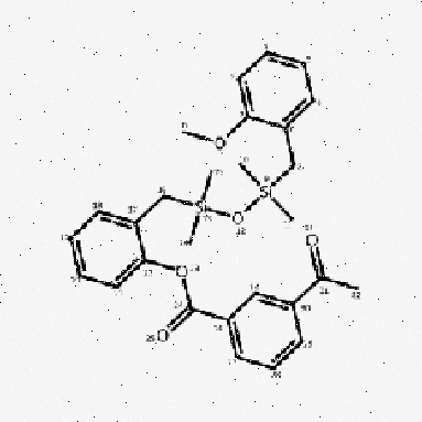 COc1ccccc1C[Si](C)(C)O[Si](C)(C)Cc1ccccc1OC(=O)c1cccc(C(C)=O)c1